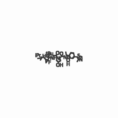 Cc1ncsc1-c1ccc(C(C)NC(=O)C2CC(O)CN2C(=O)C(NC(O)C2(F)CC2CC(C)(C)C(C)C)C(C)(C)C)c(O)c1